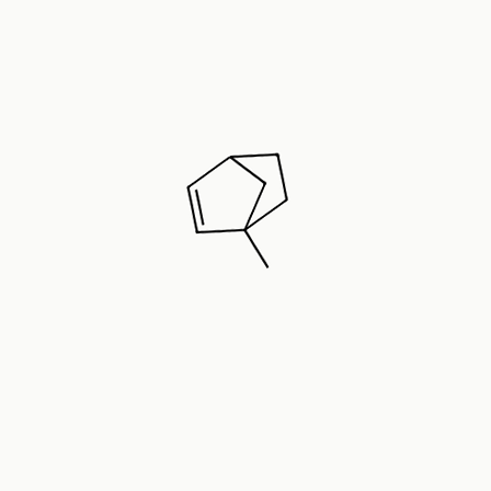 CC12C=CC(CC1)C2